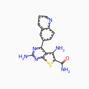 NC(=O)c1sc2nc(N)nc(-c3ccc4ncccc4c3)c2c1N